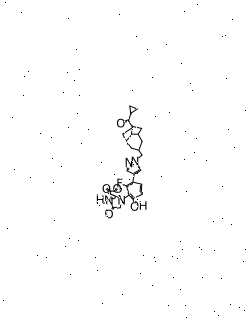 O=C1CN(c2c(O)ccc(-c3cnn(CC4CC5CC6(C(=O)C7CC7)CC(C4)C56)c3)c2F)S(=O)(=O)N1